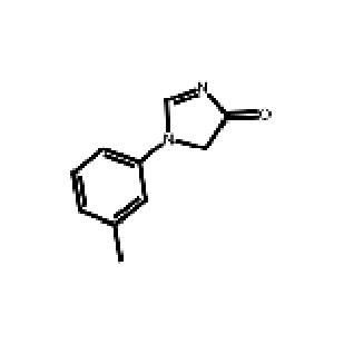 Cc1cccc(N2C=NC(=O)C2)c1